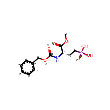 COC(=O)[C@H](CCP(O)(O)=S)NC(=O)OCc1ccccc1